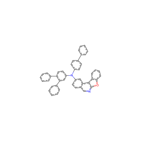 c1ccc(-c2ccc(N(c3ccc(-c4ccccc4)c(-c4ccccc4)c3)c3ccc4cnc5oc6ccccc6c5c4c3)cc2)cc1